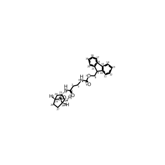 O=C(CCNC(=O)OCC1c2ccccc2-c2ccccc21)N[C@H]1C[C@H]2CC[C@@H](C1)N2C(=O)O